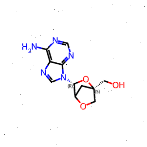 Nc1ncnc2c1ncn2[C@@H]1O[C@@]2(CO)COC1C2